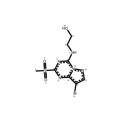 CS(=O)(=O)c1nc(NCCO)n2ncc(Br)c2n1